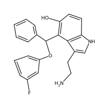 NCCc1c[nH]c2ccc(O)c(C(Oc3cccc(F)c3)c3ccccc3)c12